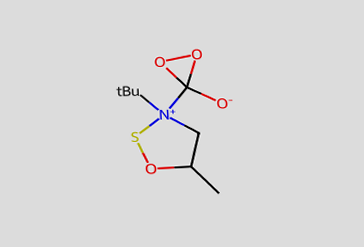 CC1C[N+](C(C)(C)C)(C2([O-])OO2)SO1